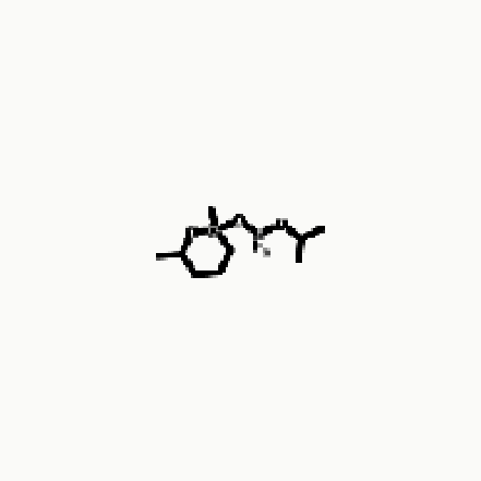 CC(C)O[SiH2]O[Si]1(C)CCCC(C)O1